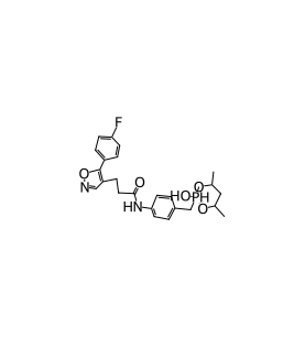 CC1CC(C)O[PH](O)(Cc2ccc(NC(=O)CCc3cnoc3-c3ccc(F)cc3)cc2)O1